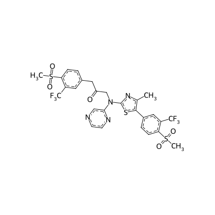 Cc1nc(N(CC(=O)Cc2ccc(S(C)(=O)=O)c(C(F)(F)F)c2)c2cnccn2)sc1-c1ccc(S(C)(=O)=O)c(C(F)(F)F)c1